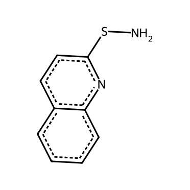 NSc1ccc2ccccc2n1